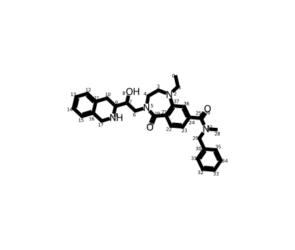 CCN1CCN(CC(O)C2Cc3ccccc3CN2)C(=O)c2ccc(C(=O)N(C)Cc3ccccc3)cc21